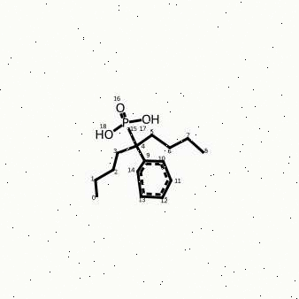 CCCCC(CCCC)(c1cc[c]cc1)P(=O)(O)O